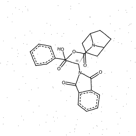 O=C(O)[C@H](C1CC2CCC(C1)N2C(=O)OCc1ccccc1)N1C(=O)c2ccccc2C1=O